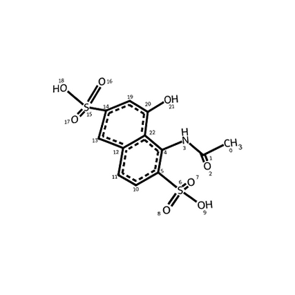 CC(=O)Nc1c(S(=O)(=O)O)ccc2cc(S(=O)(=O)O)cc(O)c12